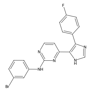 Fc1ccc(-c2nc[nH]c2-c2ccnc(Nc3cccc(Br)c3)n2)cc1